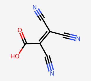 N#CC(C#N)=C(C#N)C(=O)O